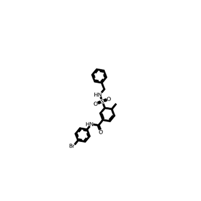 CC1C=CC(C(=O)Nc2ccc(Br)cc2)=CC1S(=O)(=O)NCc1ccccc1